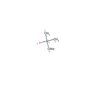 CO[Si](C)(C)I